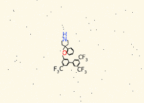 FC(F)(F)c1cc(COCC2(c3ccccc3)CCNCC2)cc(-c2cc(C(F)(F)F)cc(C(F)(F)F)c2)c1